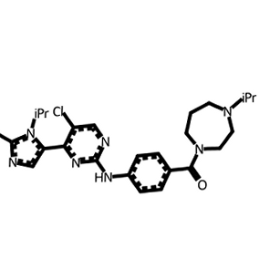 Cc1ncc(-c2nc(Nc3ccc(C(=O)N4CCCN(C(C)C)CC4)cc3)ncc2Cl)n1C(C)C